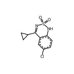 O=S1(=O)N=C(C2CC2)c2cc(Cl)ccc2N1